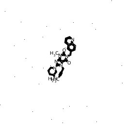 CC#CCn1c(N2CCCC(N)C2)nc2c1c(=O)n(Cc1ccc3ncccc3c1)c(=O)n2C